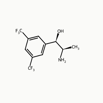 C[C@@H](N)[C@H](O)c1cc(C(F)(F)F)cc(C(F)(F)F)c1